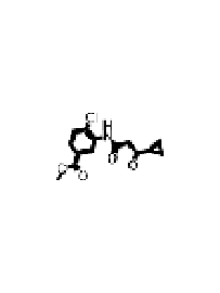 COC(=O)c1ccc(Cl)c(NC(=O)CC(=O)C2CC2)c1